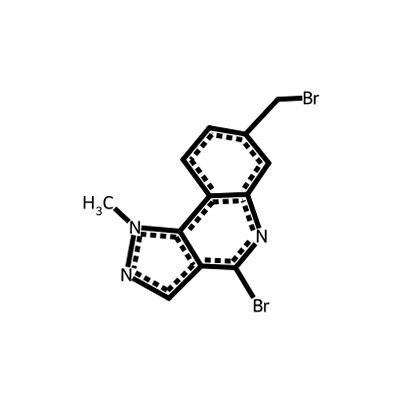 Cn1ncc2c(Br)nc3cc(CBr)ccc3c21